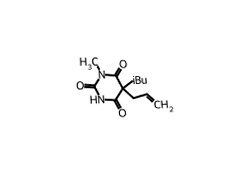 C=CCC1(C(C)CC)C(=O)NC(=O)N(C)C1=O